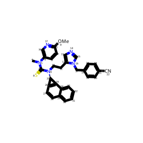 COc1ccc(N(C)C(=S)N(CCc2cncn2Cc2ccc(C#N)cc2)[C@H]2c3ccc4ccccc4c32)cn1